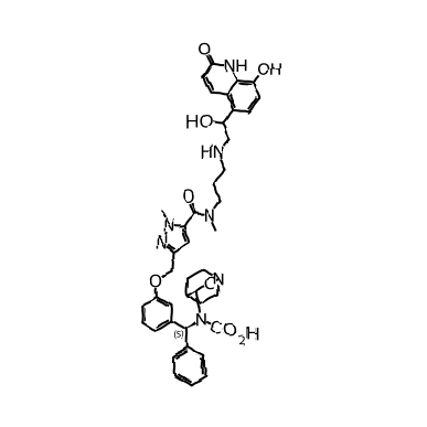 CN(CCCNCC(O)c1ccc(O)c2[nH]c(=O)ccc12)C(=O)c1cc(COc2cccc([C@H](c3ccccc3)N(C(=O)O)C3CN4CCC3CC4)c2)nn1C